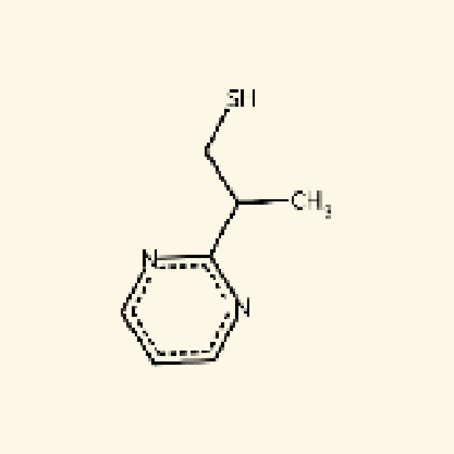 CC(CS)c1ncccn1